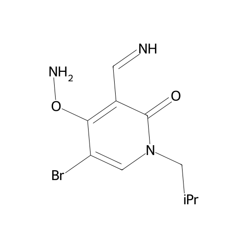 CC(C)Cn1cc(Br)c(ON)c(C=N)c1=O